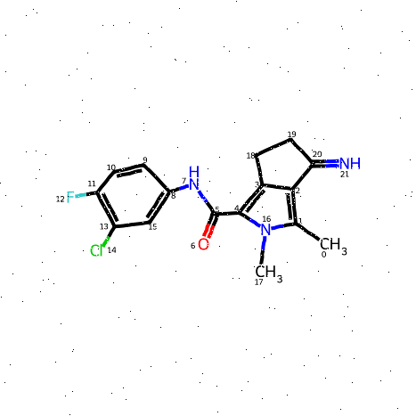 Cc1c2c(c(C(=O)Nc3ccc(F)c(Cl)c3)n1C)CCC2=N